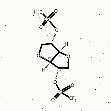 CS(=O)(=O)O[C@H]1CO[C@H]2[C@@H]1OC[C@@H]2OS(=O)(=O)C(F)(F)F